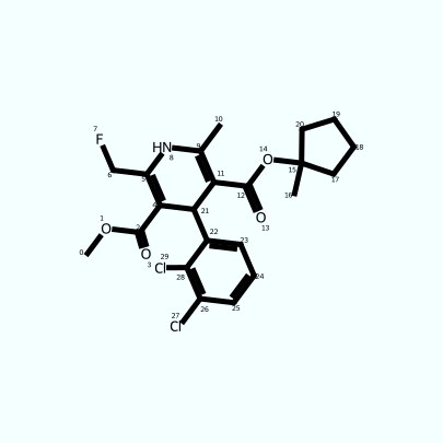 COC(=O)C1=C(CF)NC(C)=C(C(=O)OC2(C)CCCC2)C1c1cccc(Cl)c1Cl